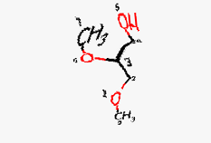 COCC([CH]O)OC